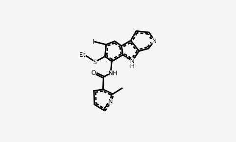 CCSc1c(I)cc2c([nH]c3cnccc32)c1NC(=O)c1cccnc1C